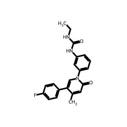 CCNC(=O)Nc1cccc(-n2cc(-c3ccc(F)cc3)c(C)cc2=O)c1